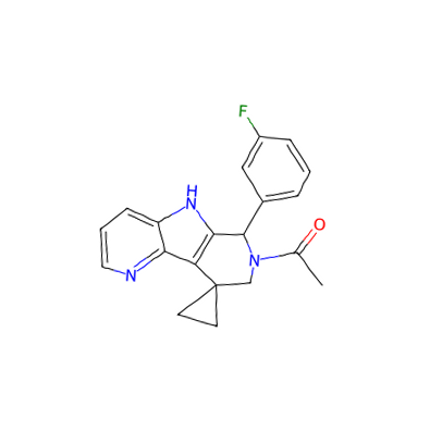 CC(=O)N1CC2(CC2)c2c([nH]c3cccnc23)C1c1cccc(F)c1